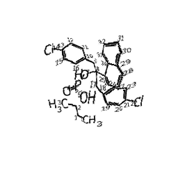 CCCC.O=[PH](O)OC(Cc1ccc(Cl)cc1)(Cc1ccc(Cl)cc1)c1cccc2ccccc12